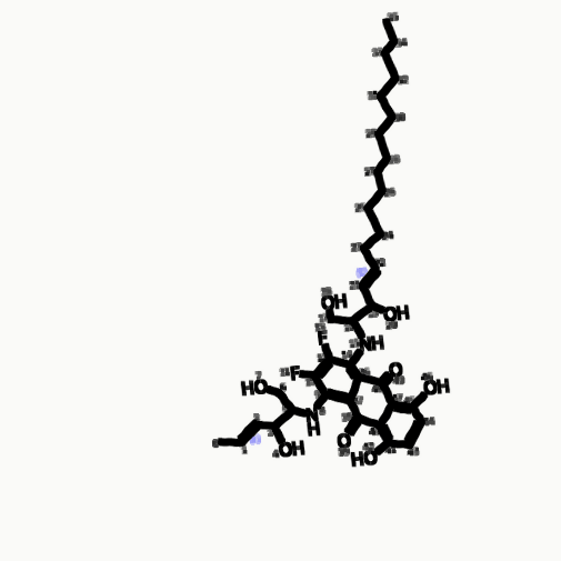 C/C=C/C(O)C(CO)Nc1c(F)c(F)c(NC(CO)C(O)/C=C/CCCCCCCCCCCCC)c2c1C(=O)c1c(O)ccc(O)c1C2=O